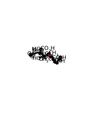 Cc1c(-c2ccc(N3CCc4cccc(C(=O)Nc5nc6ccccc6s5)c4C3)nc2C(=O)O)cnn1CC12CC3(C)CC(C)(C1)CC(OCCN(CC[C@H](O)CO)C(=O)OCc1ccc(CCCCNC(=O)CN4C(=O)C=CC4=O)cc1O[C@@H]1O[C@H](C(=O)O)C[C@H](O)[C@H]1O)(C3)C2